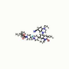 Cc1cc2c(N3CCN(C)c4ccc(C#N)cc43)cc(C3CCN(CC4(F)CCN(C(=O)OC(C)(C)C)CC4)CC3)cc2n(C)c1=O